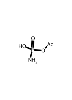 CC(=O)OP(N)(=O)O